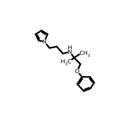 CC(C)(COc1ccccc1)NCCCn1cccc1